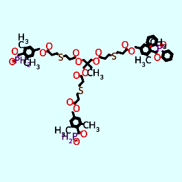 CCC(COC(=O)CCSCCC(=O)OCc1cc(C)c(C(=O)[PH2]=O)c(C)c1)(COC(=O)CCSCCC(=O)OCc1cc(C)c(C(=O)[PH2]=O)c(C)c1)COC(=O)CCSCCC(=O)OCc1cc(C)c(C(=O)P(=O)(c2ccccc2)c2ccccc2)c(C)c1